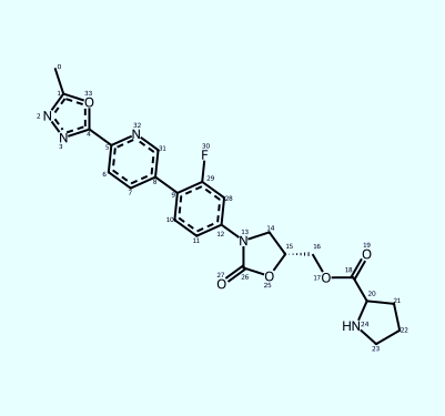 Cc1nnc(-c2ccc(-c3ccc(N4C[C@H](COC(=O)C5CCCN5)OC4=O)cc3F)cn2)o1